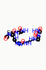 CCN(c1cc(-c2ccc(CN3CCN(CC(=O)NCCCCCCNc4cccc5c4C(=O)N(C4CCC(=O)NC4=O)C5)CC3)cc2)cc(C(=O)NCc2c(C)cc(C)[nH]c2=O)c1C)C1CCOCC1